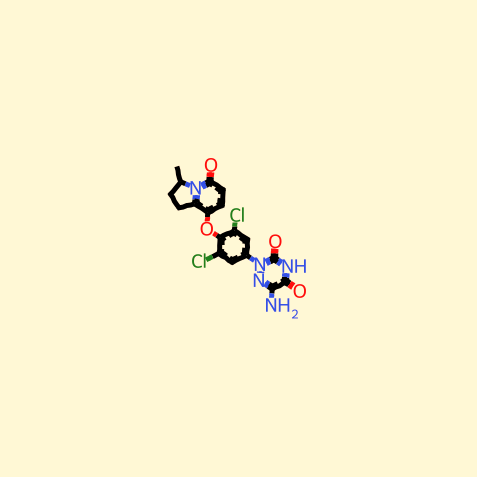 CC1CCc2c(Oc3c(Cl)cc(-n4nc(N)c(=O)[nH]c4=O)cc3Cl)ccc(=O)n21